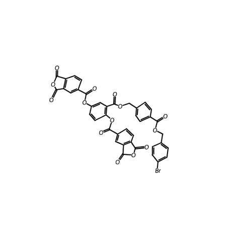 O=C(OCc1ccc(Br)cc1)c1ccc(COC(=O)c2cc(OC(=O)c3ccc4c(c3)C(=O)OC4=O)ccc2OC(=O)c2ccc3c(c2)C(=O)OC3=O)cc1